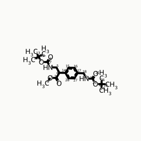 COC(=O)C(CNC(=O)OC(C)(C)C)c1ccc(CNC(=O)OC(C)(C)C)cc1